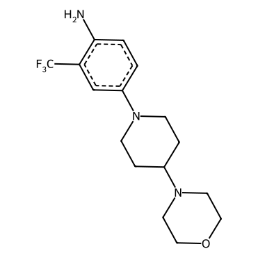 Nc1ccc(N2CCC(N3CCOCC3)CC2)cc1C(F)(F)F